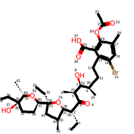 CC[C@@H](C(=O)[C@@H](C)[C@@H](O)[C@H](C)CCc1c(Br)cc(C)c(OC(C)=O)c1C(=O)O)[C@H]1O[C@](CC)([C@H]2CC[C@](O)(CC)[C@H](C)O2)C[C@@H]1C